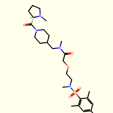 COc1cc(C)c(S(=O)(=O)N(C)CCOCC(=O)N(C)CC2CCN(C(=O)[C@@H]3CCCN3C)CC2)c(C)c1